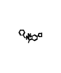 Cc1c2ccc(Cl)cc2nn1Cc1ccccc1